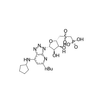 CCCCc1cc(NC2CCCC2)c2nnn([C@@H]3O[C@H](CS(=O)(=O)CP(=O)(O)O)[C@@H](O)[C@H]3O)c2n1